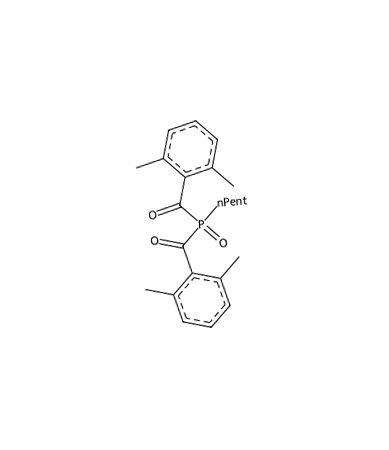 CCCCCP(=O)(C(=O)c1c(C)cccc1C)C(=O)c1c(C)cccc1C